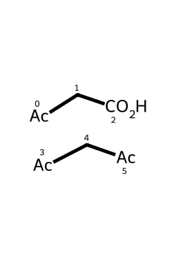 CC(=O)CC(=O)O.CC(=O)CC(C)=O